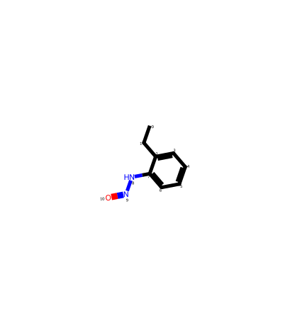 CCc1ccccc1NN=O